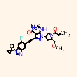 C=CC(=O)N1C[C@@H](n2nc(C#Cc3cc4ncn(C5(C)CC5)c4cc3F)c(C(N)=O)c2NC)C[C@@H]1COC